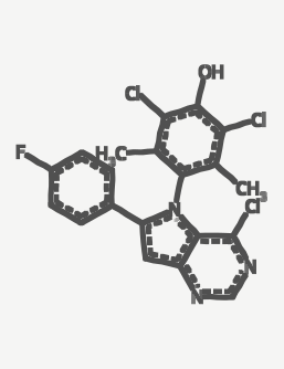 Cc1c(Cl)c(O)c(Cl)c(C)c1-n1c(-c2ccc(F)cc2)cc2ncnc(Cl)c21